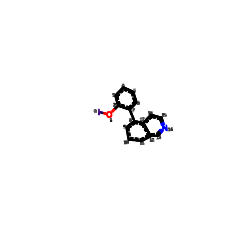 IOc1ccccc1-c1cccc2cnccc12